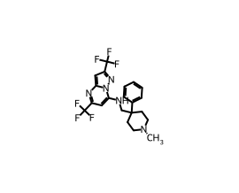 CN1CCC(CNc2cc(C(F)(F)F)nc3cc(C(F)(F)F)nn23)(c2ccccc2)CC1